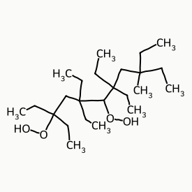 CCC(C)(CC)CC(CC)(CC)C(OO)C(CC)(CC)CC(CC)(CC)OO